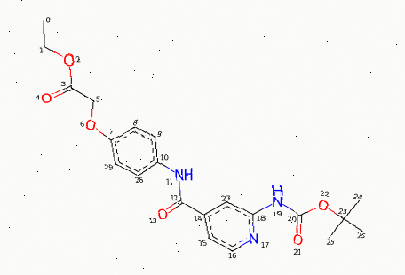 CCOC(=O)COc1ccc(NC(=O)c2ccnc(NC(=O)OC(C)(C)C)c2)cc1